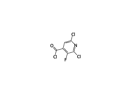 O=C(Cl)c1cc(Cl)nc(Cl)c1F